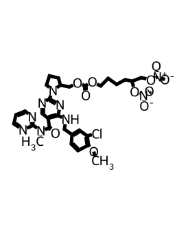 COc1ccc(CNc2nc(N3CCCC3COC(=O)OCCCCC(CO[N+](=O)[O-])O[N+](=O)[O-])ncc2C(=O)N(C)c2ncccn2)cc1Cl